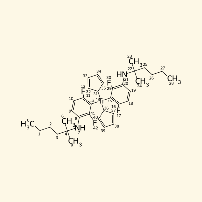 CCCCC(C)(C)Nc1ccc(F)[c]([Ti]([c]2c(F)ccc(NC(C)(C)CCCC)c2F)([CH]2C=CC=C2)[CH]2C=CC=C2)c1F